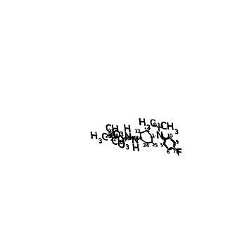 CC(C)N(c1ccc(F)cc1)[C@H]1CC[C@H](NNC(=O)OC(C)(C)C)CC1